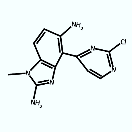 Cn1c(N)nc2c(-c3ccnc(Cl)n3)c(N)ccc21